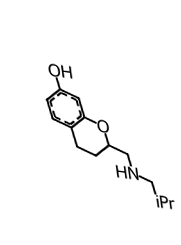 CC(C)CNCC1CCc2ccc(O)cc2O1